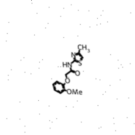 COc1ccccc1OCC(=O)Nc1nc(C)cs1